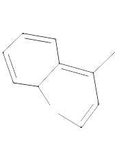 CC1=C2C=CC=CC2S[C]=C1